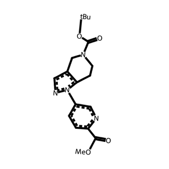 COC(=O)c1ccc(-n2ncc3c2CCN(C(=O)OC(C)(C)C)C3)cn1